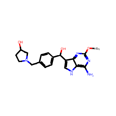 CCCCOc1nc(N)c2[nH]cc(C(O)c3ccc(CN4CCC(O)C4)cc3)c2n1